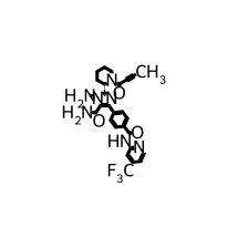 CC#CC(=O)N1CCCC[C@H]1c1nc(-c2ccc(C(=O)Nc3cc(C(F)(F)F)ccn3)cc2)c(C(N)=O)n1N